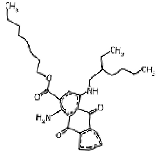 CCCCCCCCOC(=O)c1cc(NCC(CC)CCCC)c2c(c1N)C(=O)c1ccccc1C2=O